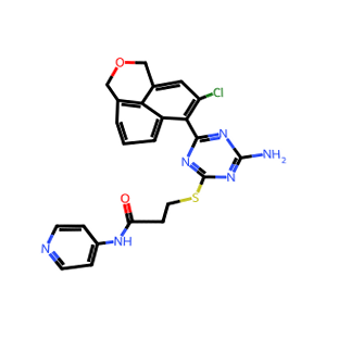 Nc1nc(SCCC(=O)Nc2ccncc2)nc(-c2c(Cl)cc3c4c(cccc24)COC3)n1